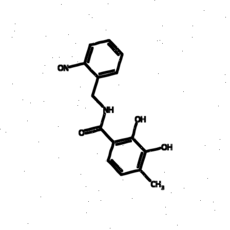 Cc1ccc(C(=O)NCc2ccccc2N=O)c(O)c1O